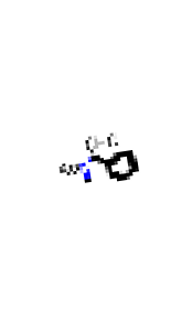 CC(=O)N(C)[C@H]([C]=O)c1ccccc1